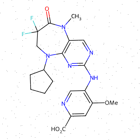 COc1cc(C(=O)O)ncc1Nc1ncc2c(n1)N(C1CCCC1)CC(F)(F)C(=O)N2C